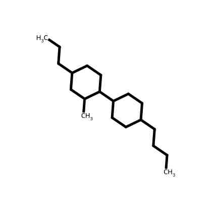 CCCCC1CCC(C2CCC(CCC)CC2C)CC1